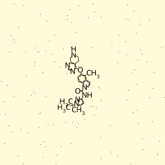 Cc1c(Oc2ncnc3c2CCNC3)ccc2c1ccn2C(=O)Nc1ccn(C(C)(C)C)n1